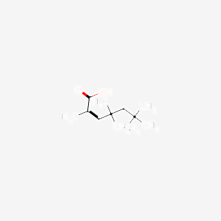 CC(=CC(C)(C)CC(C)(C)C)C(=O)O